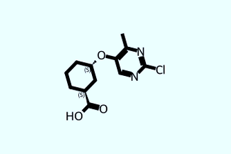 Cc1nc(Cl)ncc1O[C@H]1CCC[C@H](C(=O)O)C1